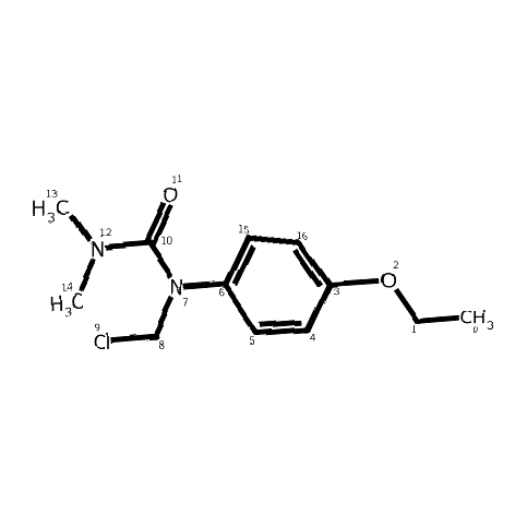 CCOc1ccc(N(CCl)C(=O)N(C)C)cc1